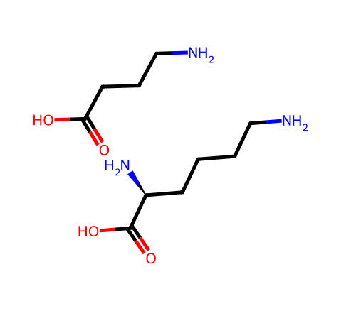 NCCCC(=O)O.NCCCC[C@H](N)C(=O)O